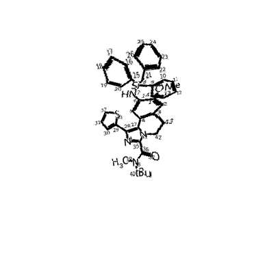 COc1cc2c(cc1N[Si](c1ccccc1)(c1ccccc1)c1ccccc1)-c1c(-c3cccs3)nc(C(=O)N(C)C(C)(C)C)n1CC2